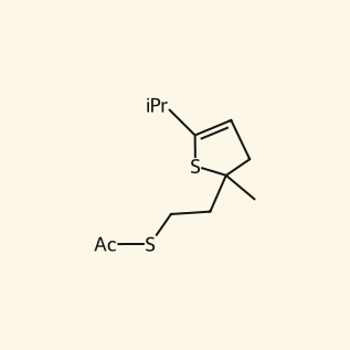 CC(=O)SCCC1(C)CC=C(C(C)C)S1